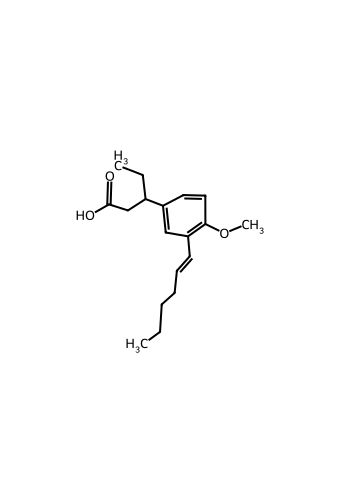 CCCCC=Cc1cc(C(CC)CC(=O)O)ccc1OC